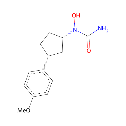 COc1ccc([C@@H]2CC[C@H](N(O)C(N)=O)C2)cc1